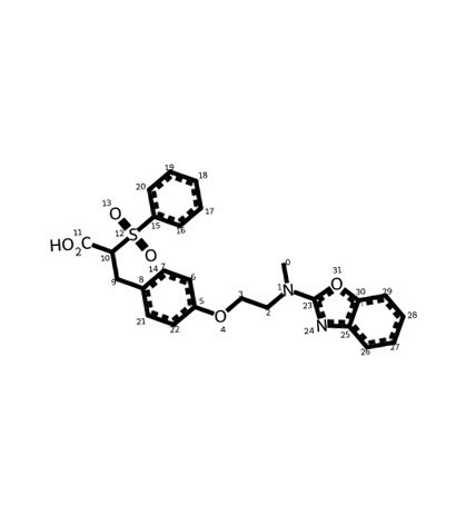 CN(CCOc1ccc(CC(C(=O)O)S(=O)(=O)c2ccccc2)cc1)c1nc2ccccc2o1